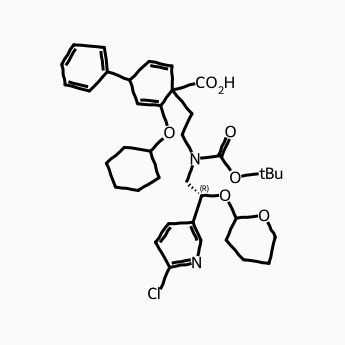 CC(C)(C)OC(=O)N(CCC1(C(=O)O)C=CC(c2ccccc2)C=C1OC1CCCCC1)C[C@H](OC1CCCCO1)c1ccc(Cl)nc1